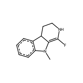 CN1C2=C(F)NCCC2c2ccccc21